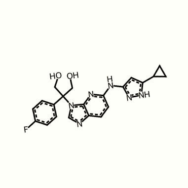 OCC(CO)(c1ccc(F)cc1)n1cnc2ccc(Nc3cc(C4CC4)[nH]n3)nc21